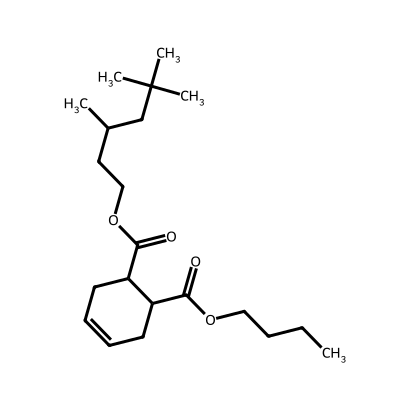 CCCCOC(=O)C1CC=CCC1C(=O)OCCC(C)CC(C)(C)C